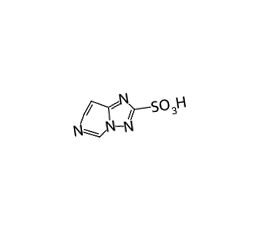 O=S(=O)(O)c1nc2ccncn2n1